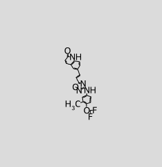 Cc1cc(Nc2noc(C=Cc3ccc4[nH]c(=O)ccc4c3)n2)ccc1OC(F)F